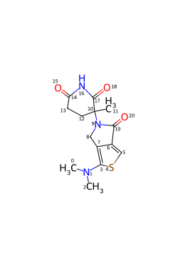 CN(C)c1scc2c1CN(C1(C)CCC(=O)NC1=O)C2=O